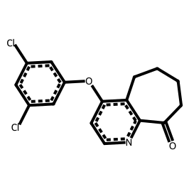 O=C1CCCCc2c(Oc3cc(Cl)cc(Cl)c3)ccnc21